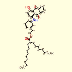 CCCCCCCCCCCCCCCCCCC(CCCCCCCCCCCCCCCC)C(=O)OCCc1cccc(Nc2ccc(O)c3c2C(=O)c2ccccc2C3=O)c1